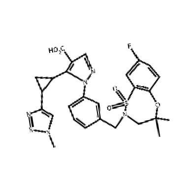 Cn1cc(C2CC2c2c(C(=O)O)cnn2-c2cccc(CN3CC(C)(C)Oc4ccc(F)cc4S3(=O)=O)c2)nn1